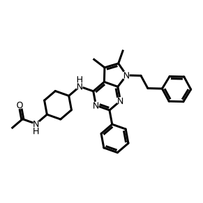 CC(=O)NC1CCC(Nc2nc(-c3ccccc3)nc3c2c(C)c(C)n3CCc2ccccc2)CC1